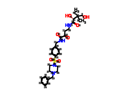 CC(C)(CO)[C@@H](O)C(=O)NCCC(=O)C(=O)NCc1ccc(S(=O)(=O)N2CCN(Cc3ccccc3)CC2)cc1